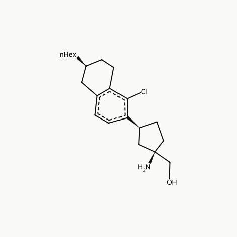 CCCCCC[C@H]1CCc2c(ccc([C@H]3CC[C@](N)(CO)C3)c2Cl)C1